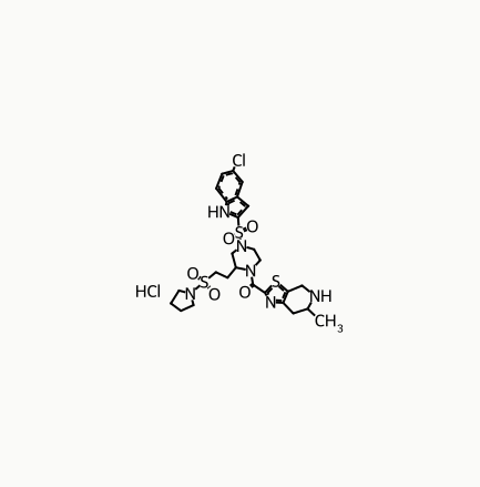 CC1Cc2nc(C(=O)N3CCN(S(=O)(=O)c4cc5cc(Cl)ccc5[nH]4)CC3CCS(=O)(=O)N3CCCC3)sc2CN1.Cl